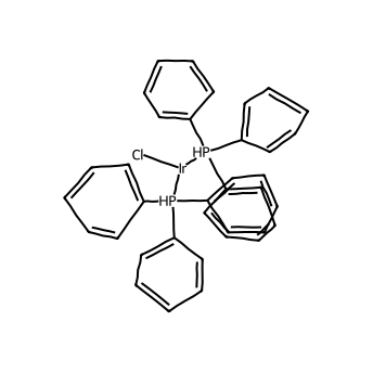 [Cl][Ir]([PH](c1ccccc1)(c1ccccc1)c1ccccc1)[PH](c1ccccc1)(c1ccccc1)c1ccccc1